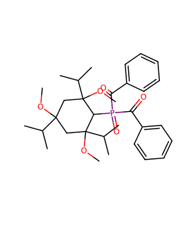 COC1(C(C)C)CC(OC)(C(C)C)C(P(=O)(C(=O)c2ccccc2)C(=O)c2ccccc2)C(OC)(C(C)C)C1